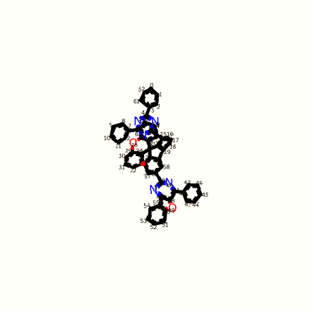 c1ccc(-c2nc(-c3ccccc3)nc(-c3cccc4c3C3(c5ccccc5Oc5ccccc53)c3ccc(-c5nc(-c6ccccc6)c6oc7ccccc7c6n5)cc3-4)n2)cc1